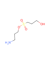 NCCCOS(=O)(=O)CCCO